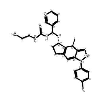 C[C@H]1C2=CNN(c3ccc(F)cc3)C2=CC2=C1[C@@H](CC(NC(=O)NCCO)c1cccnc1)CC2